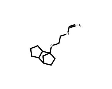 C=COCCOC12CCC(C1)C1CCCC12